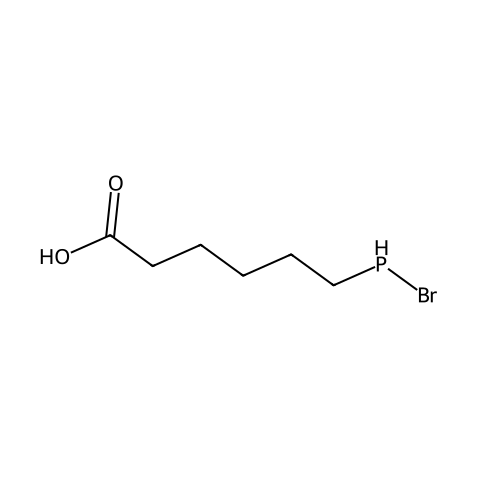 O=C(O)CCCCCPBr